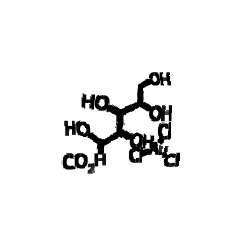 O=C(O)C(O)C(O)C(O)C(O)CO.[Cl][Au]([Cl])[Cl]